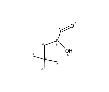 CC(C)(C)CN(O)C=O